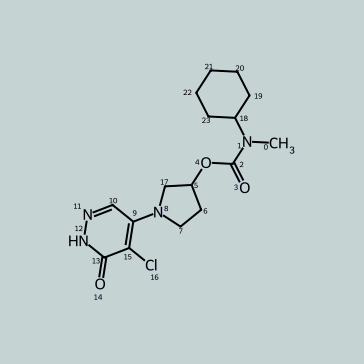 CN(C(=O)OC1CCN(c2cn[nH]c(=O)c2Cl)C1)C1CCCCC1